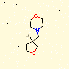 CCC1(CN2CCOCC2)CCOC1